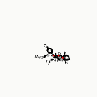 COCCOc1cc(Cl)ccc1OC(C)(C)C(=O)N[C@H]1C[C@H]2CC[C@@H](C1)N2c1ccc(C(=O)NCC(F)(F)F)cn1